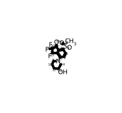 CS(=O)(=O)c1ccc(N2CCCC(O)C2)c2c1C(=O)C(F)(F)C2F